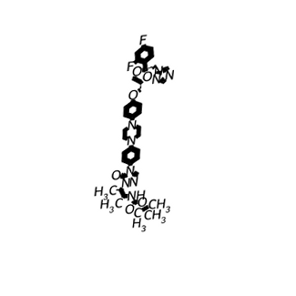 CC(NC(=O)OC(C)(C)C)[C@H](C)n1ncn(-c2ccc(N3CCN(c4ccc(OC[C@@H]5CO[C@@](Cn6cncn6)(c6ccc(F)cc6F)O5)cc4)CC3)cc2)c1=O